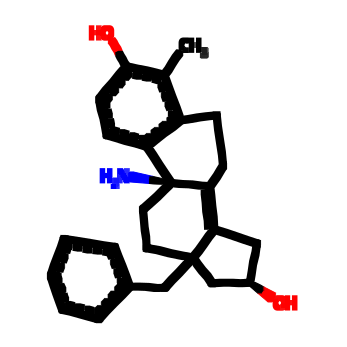 Cc1c(O)ccc2c1CCC1=C3C[C@@H](O)CC3(Cc3ccccc3)CC[C@@]12N